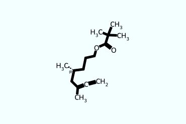 C=C=C(C)C[C@H](C)CCCOC(=O)C(C)(C)C